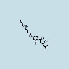 C=CCCNCC=CCOc1ccc(C(=O)CC(O)C=C(C)C)c(F)c1